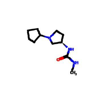 CNC(=O)N[C@H]1CCN(C2CCCC2)C1